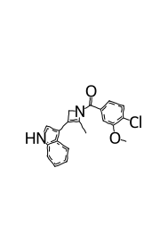 COc1cc(C(=O)N2CC(c3c[nH]c4ccccc34)=C2C)ccc1Cl